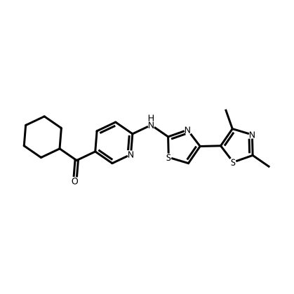 Cc1nc(C)c(-c2csc(Nc3ccc(C(=O)C4CCCCC4)cn3)n2)s1